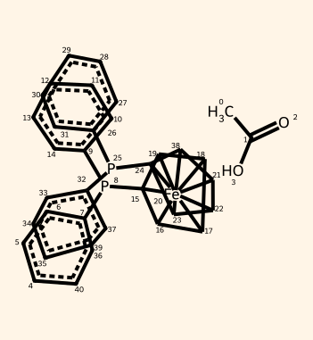 CC(=O)O.c1ccc(P(c2ccccc2)[C]23[CH]4[CH]5[CH]6[CH]2[Fe]56432789[CH]3[CH]2[CH]7[C]8(P(c2ccccc2)c2ccccc2)[CH]39)cc1